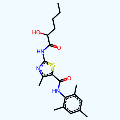 CCCCC(O)C(=O)Nc1nc(C)c(C(=O)Nc2c(C)cc(C)cc2C)s1